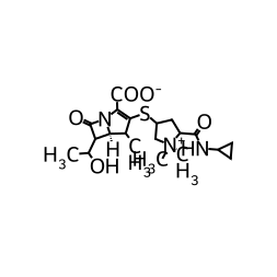 CC(O)C1C(=O)N2C(C(=O)[O-])=C(SC3CC(C(=O)NC4CC4)[N+](C)(C)C3)C(C)[C@@H]12